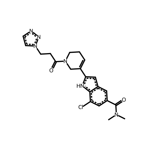 CN(C)C(=O)c1cc(Cl)c2[nH]c(C3=CCCN(C(=O)CCn4ccnn4)C3)cc2c1